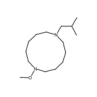 CON1CCCCCN(CC(C)C)CCCCC1